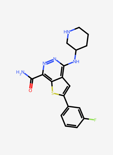 NC(=O)c1nnc(NC2CCCNC2)c2cc(-c3cccc(F)c3)sc12